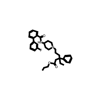 CCCOC(=O)CC(CC)(CCCN1CCC(NC(=O)c2ccccc2-c2cccc(F)c2)CC1)c1ccccc1